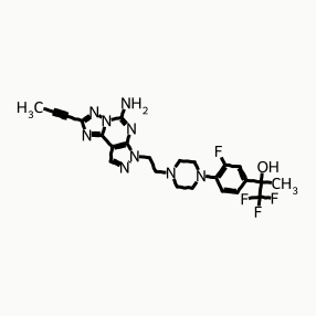 CC#Cc1nc2c3cnn(CCN4CCN(c5ccc(C(C)(O)C(F)(F)F)cc5F)CC4)c3nc(N)n2n1